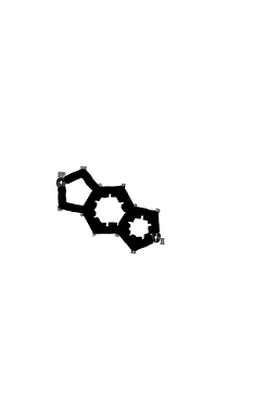 c1occ2cc3c(cc12)COC3